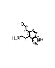 NCCc1c(CCO)ccc2[nH]nnc12